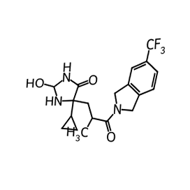 CC(CC1(C2CC2)NC(O)NC1=O)C(=O)N1Cc2ccc(C(F)(F)F)cc2C1